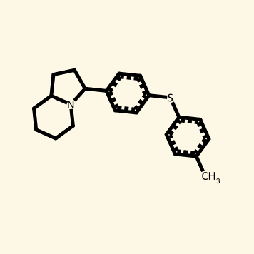 Cc1ccc(Sc2ccc(C3CCC4CCCCN43)cc2)cc1